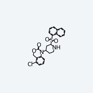 O=C1OCc2c(Cl)cccc2N1C1CCNC(S(=O)(=O)c2cccc3ccccc23)C1